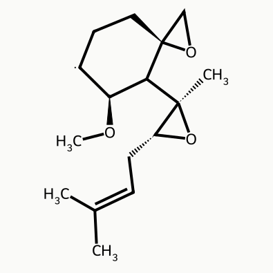 CO[C@H]1[CH]CC[C@]2(CO2)C1[C@@]1(C)O[C@@H]1CC=C(C)C